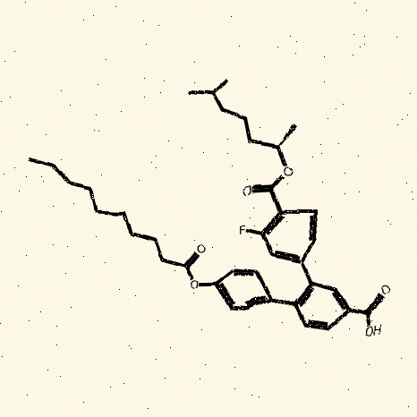 CCCCCCCCCC(=O)Oc1ccc(-c2ccc(C(=O)O)cc2-c2ccc(C(=O)O[C@H](C)CCCC(C)C)c(F)c2)cc1